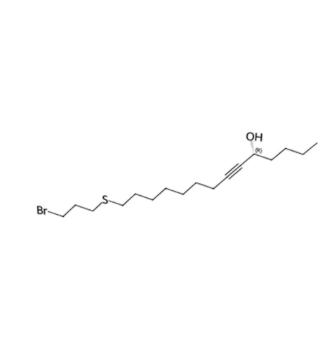 CCCC[C@@H](O)C#CCCCCCCCSCCCBr